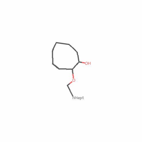 CCCCCCCCOC1CCCCCCC1O